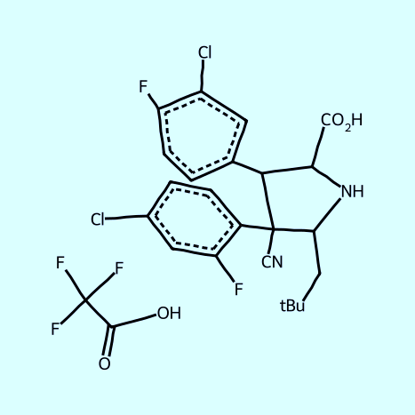 CC(C)(C)CC1NC(C(=O)O)C(c2ccc(F)c(Cl)c2)C1(C#N)c1ccc(Cl)cc1F.O=C(O)C(F)(F)F